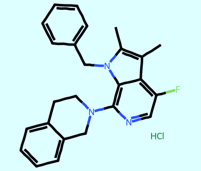 Cc1c(C)n(Cc2ccccc2)c2c(N3CCc4ccccc4C3)ncc(F)c12.Cl